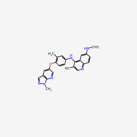 Cc1cc(Nc2c(C#N)cnc3ccc(NC=O)cc23)ccc1Oc1cnc2c(cnn2C)c1